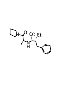 CCOC(=O)[C@H](CCc1ccccc1)N[C@@H](C)C(=O)N1CCCC1